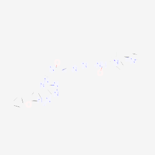 CC1=CC(C)=N/C1=C\c1ccc(CCC(=O)NCCN2CCN(C/C=C/C(=O)N3CCC[C@@H](n4nc(-c5ccc(Oc6ccccc6)cc5)c5c(N)ncnc54)C3)CC2)n1S(C)(F)F